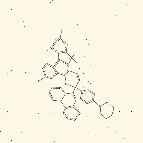 CC1(C)c2cc(F)ccc2-c2c1c1c(c3cc(F)ccc23)OC(C2=Cc3ccccc3C3C=CC=CC23)(c2ccc(N3CCCCC3)cc2)C=C1